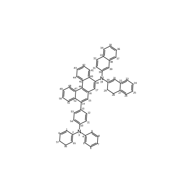 C1=CC(N(c2ccccc2)c2ccc(-c3cc4cc(N(C5=Cc6ccccc6CC5)c5ccc6ccccc6c5)c5ccccc5c4c4ccccc34)cc2)=CCC1